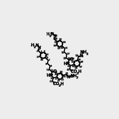 NN=Cc1ccc(CCCCC(=O)NC(CC(=O)O)c2ccc(C=NN)cc2)cc1.NN=Cc1ccc(CCCCC(=O)NC(CC(=O)O)c2cccc(C=NN)c2)cc1